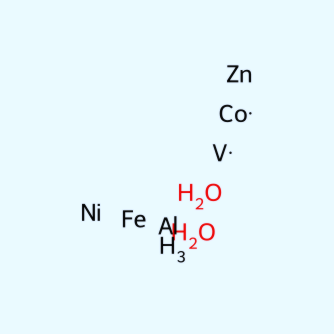 O.O.[AlH3].[Co].[Fe].[Ni].[V].[Zn]